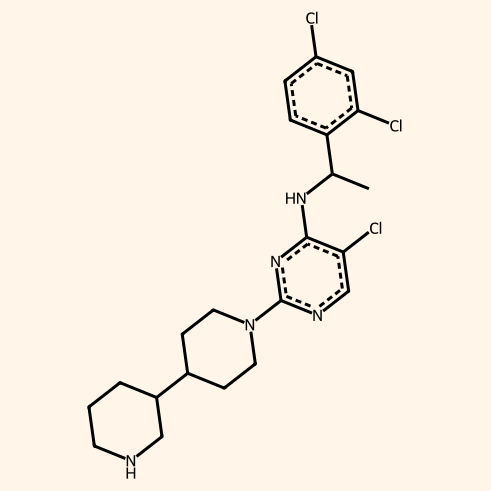 CC(Nc1nc(N2CCC(C3CCCNC3)CC2)ncc1Cl)c1ccc(Cl)cc1Cl